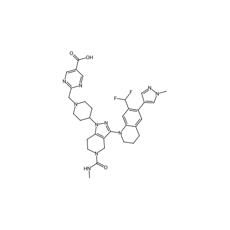 CNC(=O)N1CCc2c(c(N3CCCc4cc(-c5cnn(C)c5)c(C(F)F)cc43)nn2C2CCN(Cc3ncc(C(=O)O)cn3)CC2)C1